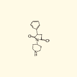 O=C1CC(c2ccccc2)C(=O)N1C1CCNCC1